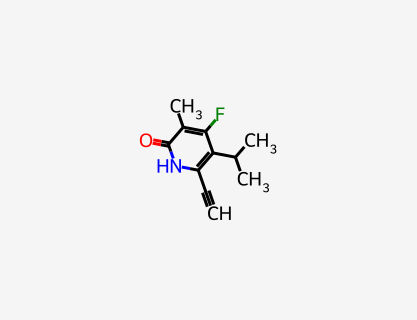 C#Cc1[nH]c(=O)c(C)c(F)c1C(C)C